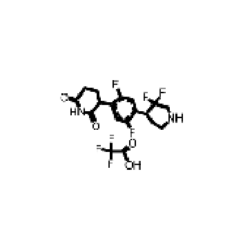 O=C(O)C(F)(F)F.O=C1CCC(c2cc(F)c(C3CCNCC3(F)F)cc2F)C(=O)N1